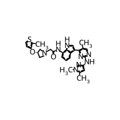 Cc1cnc(Nc2cc(C)n(C)n2)nc1-c1c[nH]c2c(NC(=O)CN3CC[C@H](Oc4ccsc4C)C3)cccc12